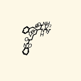 COc1ccccc1CS(=O)(=O)C(CCCC(=O)c1nc2ccccc2o1)C(NC(=O)N(C)C)C(N)=O